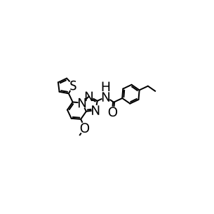 CCc1ccc(C(=O)Nc2nc3c(OC)ccc(-c4cccs4)n3n2)cc1